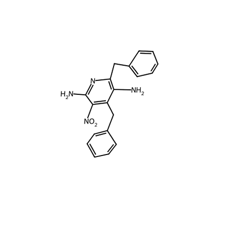 Nc1nc(Cc2ccccc2)c(N)c(Cc2ccccc2)c1[N+](=O)[O-]